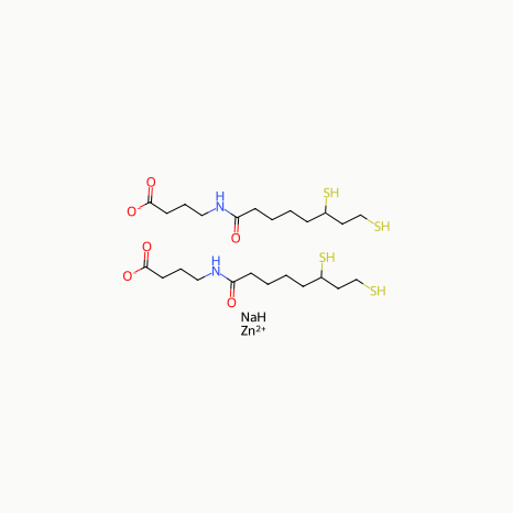 O=C([O-])CCCNC(=O)CCCCC(S)CCS.O=C([O-])CCCNC(=O)CCCCC(S)CCS.[NaH].[Zn+2]